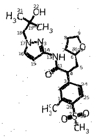 Cc1cc(C(C[C@H]2CCCO2)C(=O)Nc2ccn(CC(C)(C)O)n2)ccc1S(C)(=O)=O